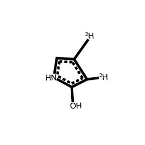 [2H]c1c[nH]c(O)c1[2H]